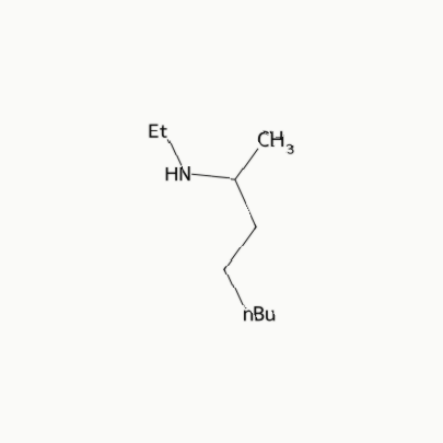 CCCCCCC(C)NCC